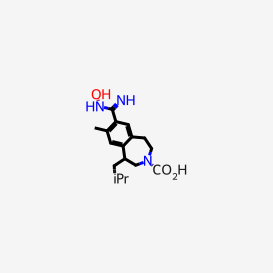 Cc1cc2c(cc1C(=N)NO)CCN(C(=O)O)CC2CC(C)C